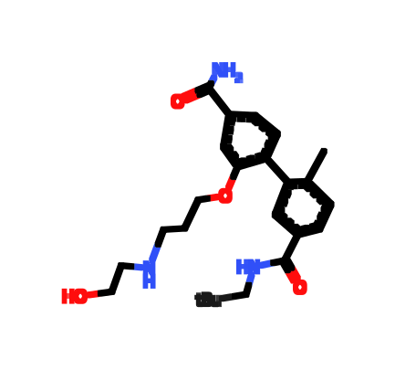 Cc1ccc(C(=O)NCC(C)(C)C)cc1-c1ccc(C(N)=O)cc1OCCCNCCO